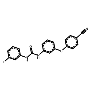 N#Cc1ccc(Oc2cccc(NC(=O)Nc3cccc(F)c3)c2)cc1